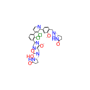 COc1cc(-c2nccc(-c3cccc(-c4cnc(CN(C[C@@H]5CCC(=O)N5)C(=O)O)c(OC)n4)c3Cl)c2Cl)ccc1CNC[C@@H]1CCC(=O)N1